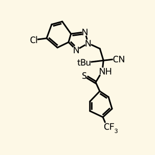 CC(C)(C)C(C#N)(Cn1nc2ccc(Cl)cc2n1)NC(=S)c1ccc(C(F)(F)F)cc1